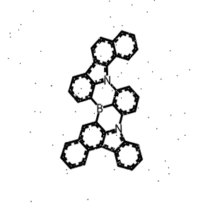 c1cc2c3c(c1)-n1c4c(cccc4c4ccc5ccccc5c41)B3c1cc3ccccc3c3c4ccccc4n-2c13